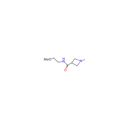 COCCNC(=O)C1CN(C)C1